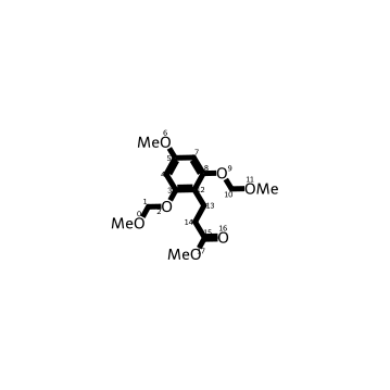 COCOc1cc(OC)cc(OCOC)c1CCC(=O)OC